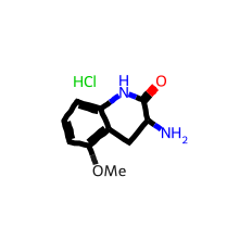 COc1cccc2c1CC(N)C(=O)N2.Cl